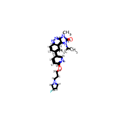 CC(C)n1c(=O)n(C)c2nnc3ccc(-c4ccc(OCCCN5CC[C@@H](F)C5)nc4)cc3c21